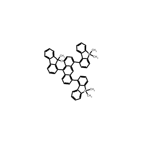 CC1(C)c2ccccc2-c2cccc(-c3c4cccc(-c5cccc6c5-c5ccccc5[Si]6(C)C)c4cc4c(-c5cccc6c5-c5ccccc5[Si]6(C)C)cccc34)c21